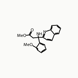 COC(=O)CC(N)(c1ccc2ccccc2n1)c1ccccc1OC